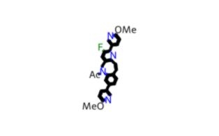 COc1ccc(-c2ccc3c(c2)N(C(C)=O)Cc2cc(F)c(-c4ccc(OC)nc4)nc2/C=C\3)cn1